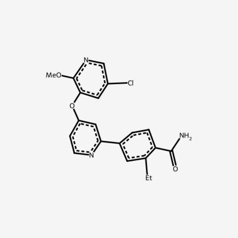 CCc1cc(-c2cc(Oc3cc(Cl)cnc3OC)ccn2)ccc1C(N)=O